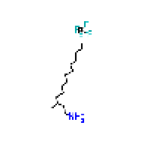 CCCCCCCCCCCC(C)CC[NH3+].F[B-](F)(F)F